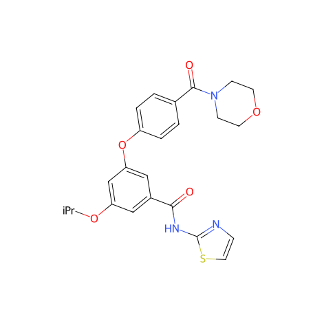 CC(C)Oc1cc(Oc2ccc(C(=O)N3CCOCC3)cc2)cc(C(=O)Nc2nccs2)c1